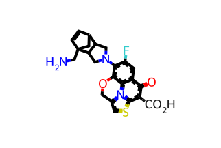 NCC12C=CC(C1)C1CN(c3c(F)cc4c(=O)c(C(=O)O)c5scc6n5c4c3OC6)CC12